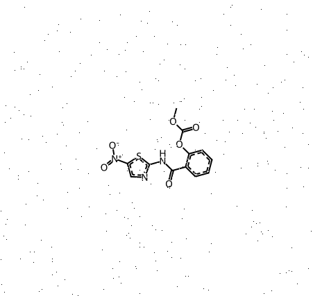 COC(=O)Oc1ccccc1C(=O)Nc1ncc([N+](=O)[O-])s1